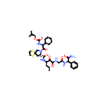 CCCC(NC(=O)[C@@H]1CC2(CN1C(=O)C(NC(=O)OCC(C)C)C1CCCCC1)SCCS2)C(=O)C(=O)NCC(=O)NC(C(N)=O)c1ccccc1